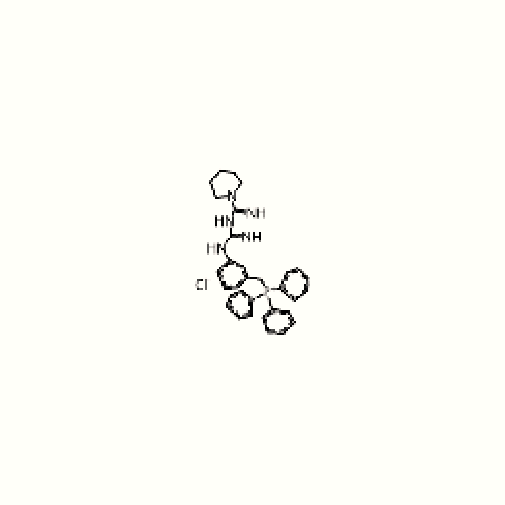 N=C(NC(=N)N1CCCCC1)Nc1cccc(C[P+](c2ccccc2)(c2ccccc2)c2ccccc2)c1.[Cl-]